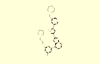 Fc1cc(OCCN2CCCC2)cc(-c2cccc3[nH]c(-c4cc(-c5cncc(CN6CCCCC6)c5)[nH]n4)cc23)c1